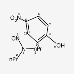 CCCN(CCC)N=O.O=[N+]([O-])c1ccc(O)cc1